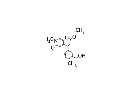 CCOC(=O)CC(c1ccc(C)c(CO)c1)c1ccn(C)c(=O)c1